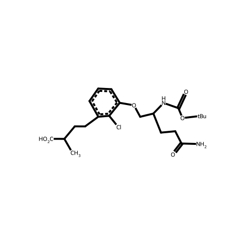 CC(CCc1cccc(OCC(CCC(N)=O)NC(=O)OC(C)(C)C)c1Cl)C(=O)O